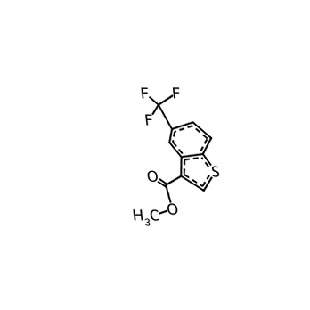 COC(=O)c1csc2ccc(C(F)(F)F)cc12